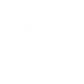 NNC(=O)Oc1ccccc1OC(=O)NN